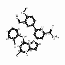 COc1ccc(-c2cccc(C(N)=O)n2)cc1C=O.Cc1cc(Oc2ccccc2F)n2nccc2n1